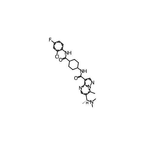 Cc1c([C@@H](C)N(C)C)cnc2c(C(=O)NC3CCC(C(=O)Nc4ccc(F)cc4Cl)CC3)cnn12